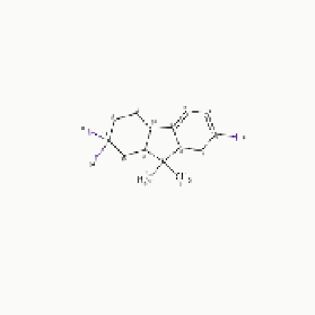 CC1(C)C2CC(I)=CC=C2C2CCC(I)(I)CC21